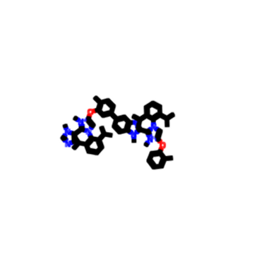 Cc1ccc(-c2ccc3c(c2)nc(-c2n(-c4c(C(C)C)cccc4C(C)C)cc(Oc4ccccc4C)[n+]2C)n3C)cc1Oc1cn(-c2c(C(C)C)cccc2C(C)C)c(-c2cncn2C)[n+]1C